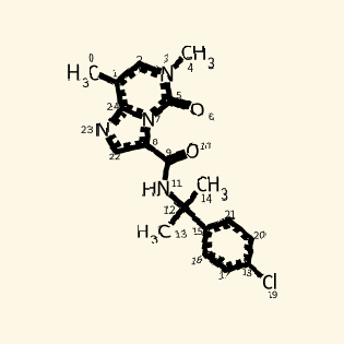 Cc1cn(C)c(=O)n2c(C(=O)NC(C)(C)c3ccc(Cl)cc3)cnc12